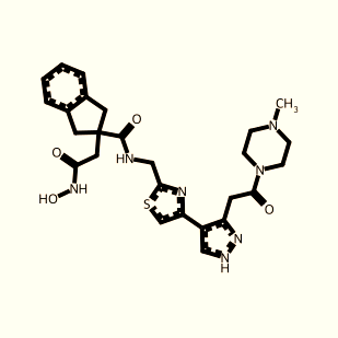 CN1CCN(C(=O)Cc2n[nH]cc2-c2csc(CNC(=O)C3(CC(=O)NO)Cc4ccccc4C3)n2)CC1